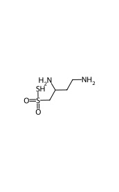 NCCC(N)CS(=O)(=O)S